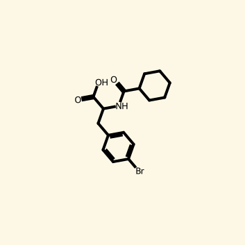 O=C(NC(Cc1ccc(Br)cc1)C(=O)O)C1CCCCC1